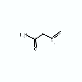 NC(=O)C[PH2]=O